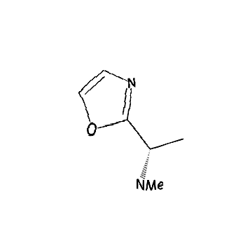 CN[C@@H](C)c1ncco1